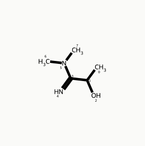 CC(O)C(=N)N(C)C